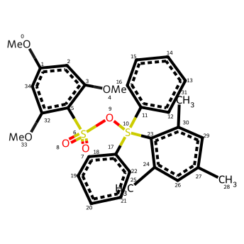 COc1cc(OC)c(S(=O)(=O)OS(c2ccccc2)(c2ccccc2)c2c(C)cc(C)cc2C)c(OC)c1